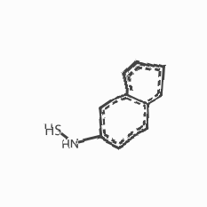 SNc1ccc2ccccc2c1